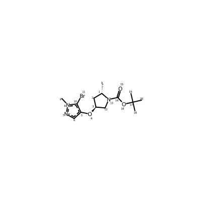 C[C@H]1C[C@H](Oc2cnn(C)c2Br)CN1C(=O)OC(C)(C)C